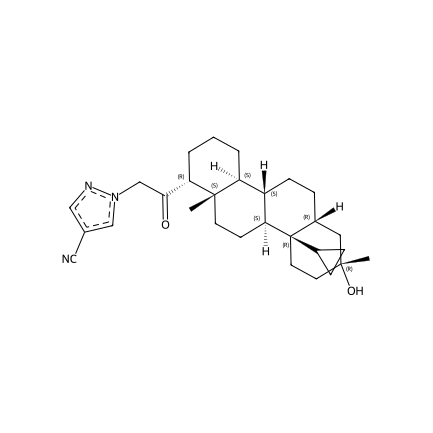 C[C@@]1(O)CC[C@@]2(C3CC3)[C@H](CC[C@H]3[C@@H]4CCC[C@@H](C(=O)Cn5cc(C#N)cn5)[C@@]4(C)CC[C@@H]32)C1